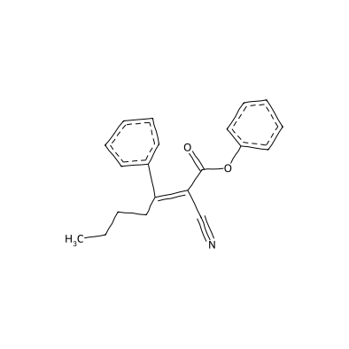 CCCCC(=C(C#N)C(=O)Oc1ccccc1)c1ccccc1